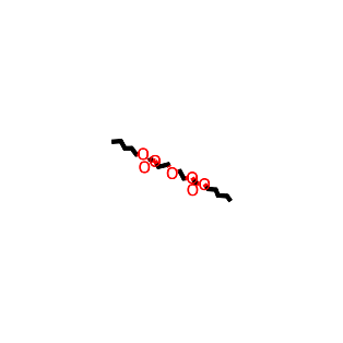 CCCCCOC(=O)OCCOCCOC(=O)OCCCCC